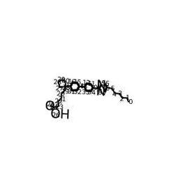 CCCCCCc1cnc(-c2ccc(-c3ccc(C4(CCCCCC(=O)O)CCCC4)cc3)cc2)nc1